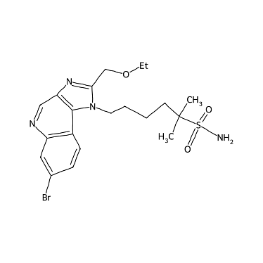 CCOCc1nc2cnc3cc(Br)ccc3c2n1CCCCC(C)(C)S(N)(=O)=O